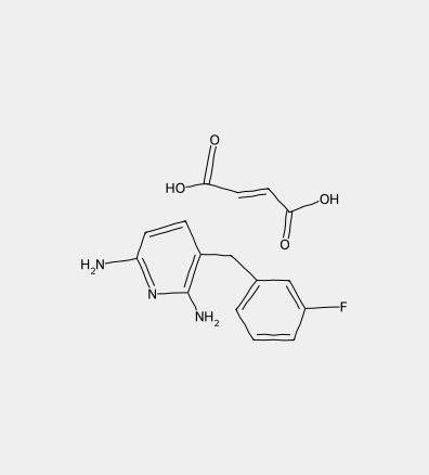 Nc1ccc(Cc2cccc(F)c2)c(N)n1.O=C(O)C=CC(=O)O